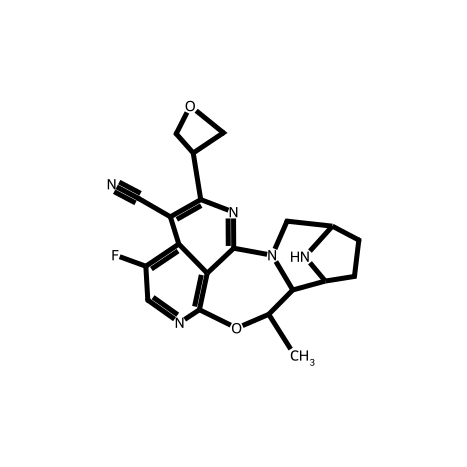 CC1Oc2ncc(F)c3c(C#N)c(C4COC4)nc(c23)N2CC3CCC(N3)C12